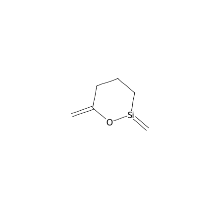 C=C1CCC[Si](=C)O1